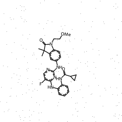 COCCN1C(=O)C(C)(C)c2cc(Nc3ncc(F)c(Nc4ccccc4NC(=O)C4CC4)n3)ccc21